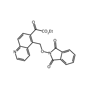 CCOC(=O)C(=O)c1ccc2ncccc2c1CON1C(=O)c2ccccc2C1=O